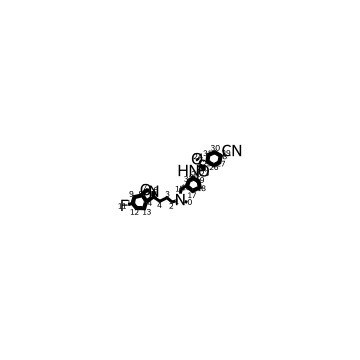 CN(CCCc1noc2cc(F)ccc12)Cc1cccc(NS(=O)(=O)c2ccc(C#N)cc2)c1